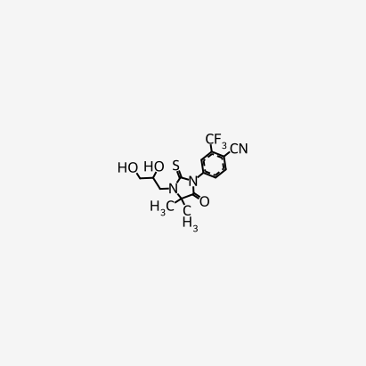 CC1(C)C(=O)N(c2ccc(C#N)c(C(F)(F)F)c2)C(=S)N1CC(O)CO